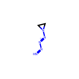 N=N/N=N/N1CC1